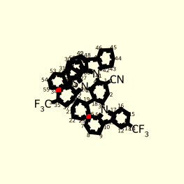 N#Cc1cc(-n2c3ccccc3c3cc(C(F)(F)F)ccc32)c(-c2ccccc2)c(-n2c3ccccc3c3cc(C(F)(F)F)ccc32)c1-n1c2ccccc2c2ccc3c4ccccc4sc3c21